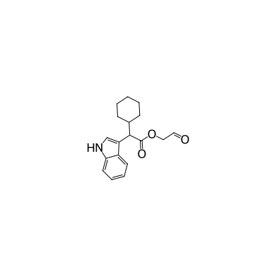 O=CCOC(=O)C(c1c[nH]c2ccccc12)C1CCCCC1